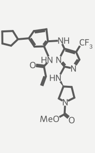 C=CC(=O)Nc1cc(C2CCCC2)ccc1Nc1nc(N[C@H]2CCN(C(=O)OC)C2)ncc1C(F)(F)F